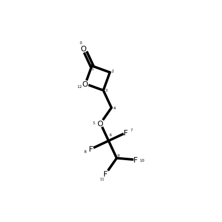 O=C1CC(COC(F)(F)C(F)F)O1